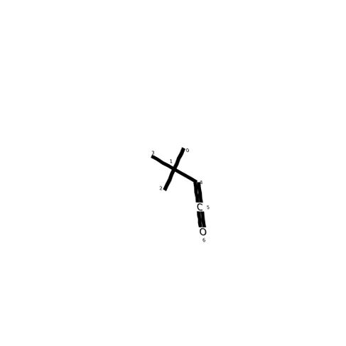 CC(C)(C)C=C=O